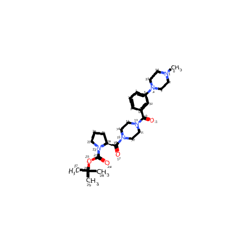 CN1CCN(c2cccc(C(=O)N3CCN(C(=O)[C@@H]4CCCN4C(=O)OC(C)(C)C)CC3)c2)CC1